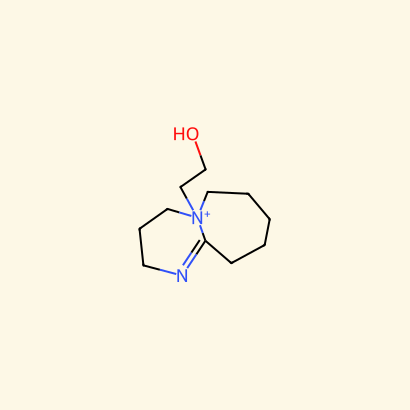 OCC[N+]12CCCCCC1=NCCC2